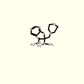 CNC(=O)C(CN1CCOCC1)(Sc1ccncn1)N(C)C